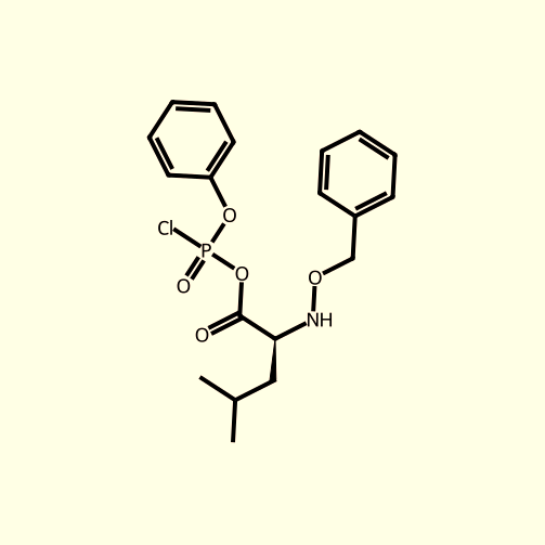 CC(C)C[C@H](NOCc1ccccc1)C(=O)OP(=O)(Cl)Oc1ccccc1